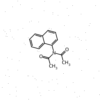 CC(=O)N(C(C)=O)c1cccc2ccccc12